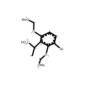 COCOc1ccc(C(C)=O)c(OCOC)c1C(C)C(=O)O